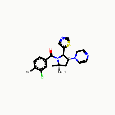 CC(C)(C)c1ccc(C(=O)N2C(c3cncs3)[C@@H](N3C=CN=CC3)C[C@@]2(C)C(=O)O)cc1Cl